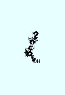 C[C@@H]1CN(c2ccc(-c3cc(OCC(C)(C)O)cn4ncc(C#N)c34)cn2)C[C@H](C)[C@H]1NC(=O)c1ccccn1